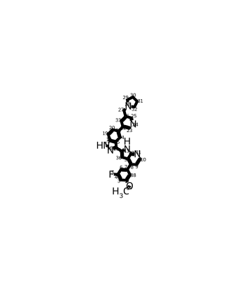 COc1cc(F)cc(-c2ccnc3[nH]c(-c4n[nH]c5ccc(-c6cncc(CN7CCCC7)c6)cc45)cc23)c1